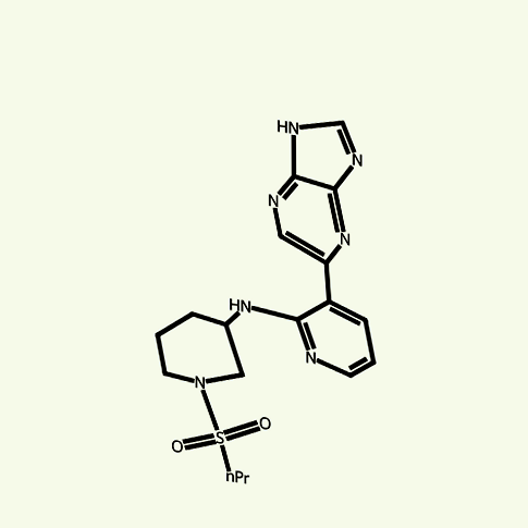 CCCS(=O)(=O)N1CCCC(Nc2ncccc2-c2cnc3[nH]cnc3n2)C1